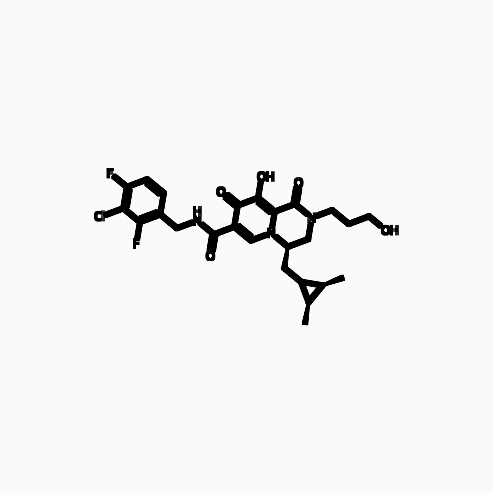 C[C@@H]1C(C[C@@H]2CN(CCCO)C(=O)c3c(O)c(=O)c(C(=O)NCc4ccc(F)c(Cl)c4F)cn32)[C@@H]1C